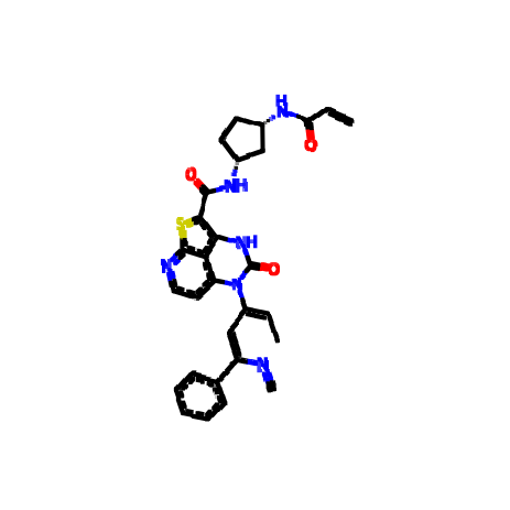 C=CC(=O)N[C@H]1CC[C@@H](NC(=O)c2sc3nccc4c3c2NC(=O)N4C(/C=C(\N=C)c2ccccc2)=C/C)C1